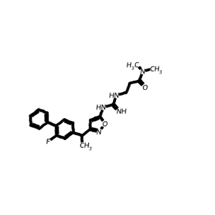 CC(c1ccc(-c2ccccc2)c(F)c1)c1cc(NC(=N)NCCC(=O)N(C)C)on1